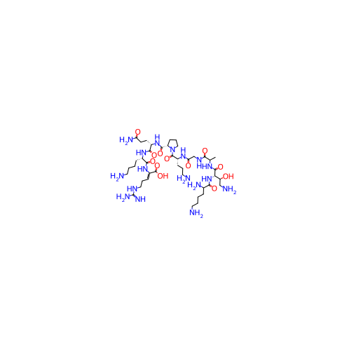 CC(NC(=O)[C@@H](NC(=O)C(N)CCCCN)[C@@H](O)CN)C(=O)NCC(=O)N[C@H](CCCN)C(=O)N1CCC[C@H]1C(=O)N[C@@H](CCC(N)=O)C(=O)N[C@@H](CCCCN)C(=O)N/C(=C\CCNC(=N)N)C(=O)O